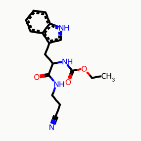 CCOC(=O)NC(Cc1c[nH]c2ccccc12)C(=O)NCCC#N